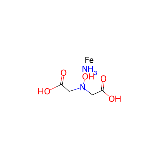 N.O=C(O)CN(O)CC(=O)O.[Fe]